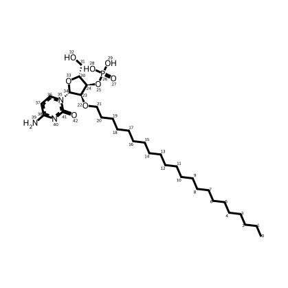 CCCCCCCCCCCCCCCCCCCCCCO[C@@H]1[C@H](OP(=O)(O)O)[C@@H](CO)O[C@H]1n1ccc(N)nc1=O